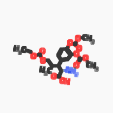 CCOC(=O)OCC(C)C(c1ccc(OC(=O)OC)c(OC(=O)OC)c1)[C@H](N)C(=O)O